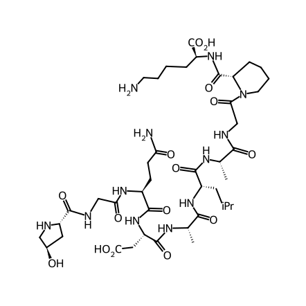 CC(C)C[C@H](NC(=O)[C@H](C)NC(=O)[C@H](CC(=O)O)NC(=O)[C@H](CCC(N)=O)NC(=O)CNC(=O)[C@@H]1C[C@@H](O)CN1)C(=O)N[C@@H](C)C(=O)NCC(=O)N1CCCC[C@H]1C(=O)N[C@@H](CCCCN)C(=O)O